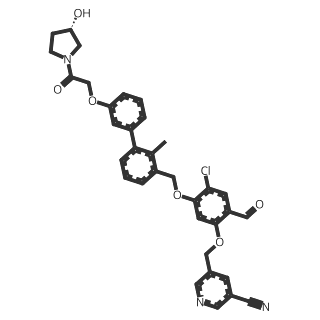 Cc1c(COc2cc(OCc3cncc(C#N)c3)c(C=O)cc2Cl)cccc1-c1cccc(OCC(=O)N2CC[C@H](O)C2)c1